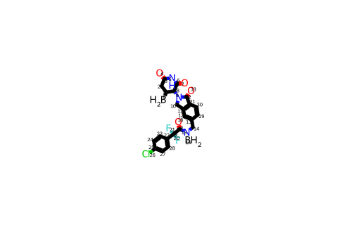 BC1CC(=O)NC(=O)C1N1Cc2cc(CN(B)C(=O)C(F)(F)c3ccc(Cl)cc3)ccc2C1=O